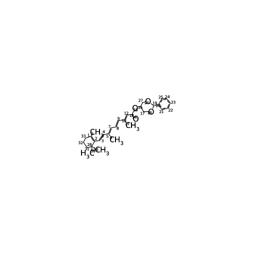 CC1=C(/C=C/C(C)=C/C=C/C(C)=C/C(=O)OC2COC(c3ccccc3)OC2)C(C)(C)CCC1